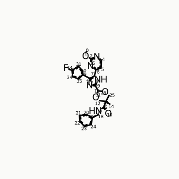 COc1nccc(-c2[nH]c(C3OCC(C)(C(=O)NCc4ccccc4)CO3)nc2-c2ccc(F)cc2)n1